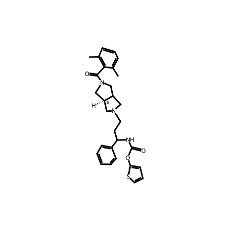 Cc1cccc(C)c1C(=O)N1CC2CN(CCC(NC(=O)Oc3cccs3)c3ccccc3)C[C@H]2C1